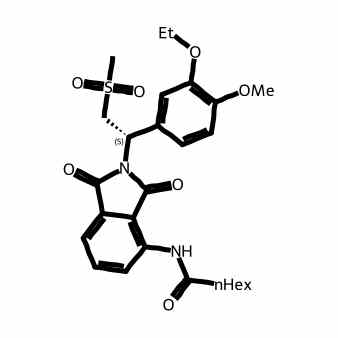 CCCCCCC(=O)Nc1cccc2c1C(=O)N([C@H](CS(C)(=O)=O)c1ccc(OC)c(OCC)c1)C2=O